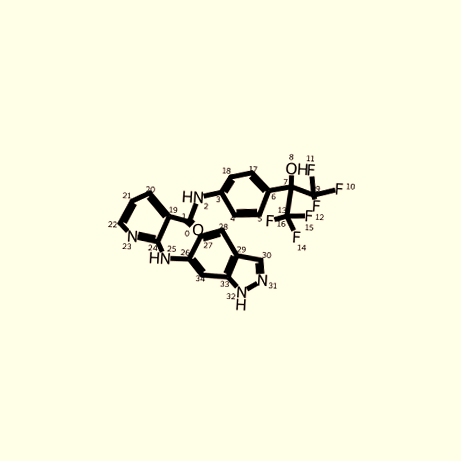 O=C(Nc1ccc(C(O)(C(F)(F)F)C(F)(F)F)cc1)c1cccnc1Nc1ccc2cn[nH]c2c1